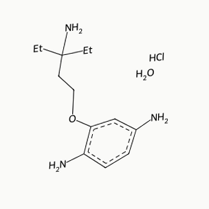 CCC(N)(CC)CCOc1cc(N)ccc1N.Cl.O